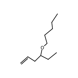 C=CCC(CC)OCCCCC